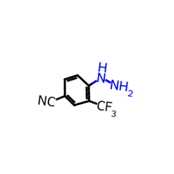 N#Cc1ccc(NN)c(C(F)(F)F)c1